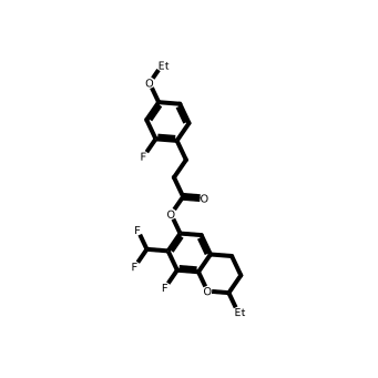 CCOc1ccc(CCC(=O)Oc2cc3c(c(F)c2C(F)F)OC(CC)CC3)c(F)c1